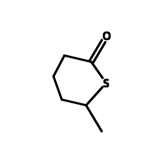 CC1CCCC(=O)S1